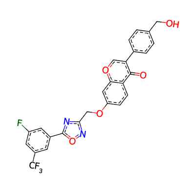 O=c1c(-c2ccc(CO)cc2)coc2cc(OCc3noc(-c4cc(F)cc(C(F)(F)F)c4)n3)ccc12